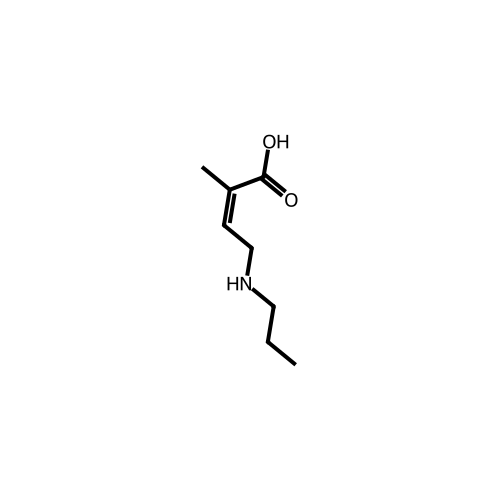 CCCNCC=C(C)C(=O)O